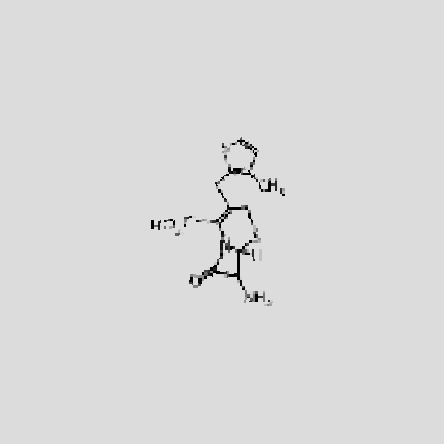 Cc1ccsc1CC1=C(C(=O)O)N2C(=O)C(N)[C@H]2SC1